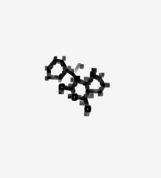 C[C@@H](c1ccccc1)n1c(=O)oc(=O)c2cccnc21